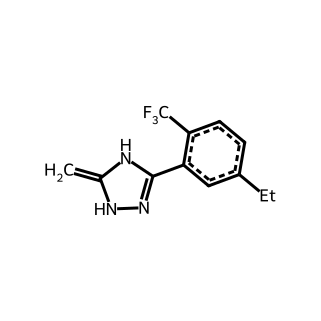 C=C1NN=C(c2cc(CC)ccc2C(F)(F)F)N1